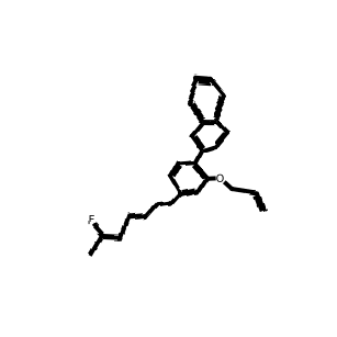 C=CCOc1cc(CCCCCC(C)F)ccc1-c1ccc2ccccc2c1